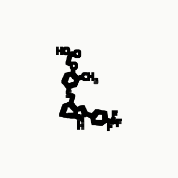 Cc1cc(SCc2cccc3[nH]c(-c4ccc(C(F)(F)F)cc4)cc23)ccc1OCC(=O)O